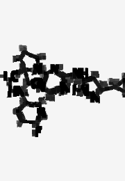 CC1(C(=O)Nc2ccc(F)nc2)CCCN1c1ncnc(Nc2cc(C3CC3)n[nH]2)n1